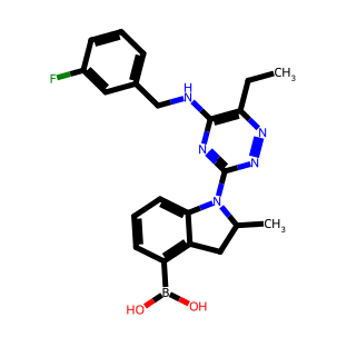 CCc1nnc(N2c3cccc(B(O)O)c3CC2C)nc1NCc1cccc(F)c1